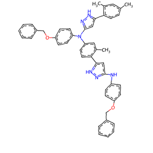 Cc1ccc(-c2cc(N(c3ccc(OCc4ccccc4)cc3)c3ccc(-c4cc(Nc5ccc(OCc6ccccc6)cc5)n[nH]4)c(C)c3)n[nH]2)c(C)c1